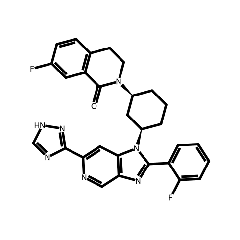 O=C1c2cc(F)ccc2CCN1[C@H]1CCC[C@@H](n2c(-c3ccccc3F)nc3cnc(-c4nc[nH]n4)cc32)C1